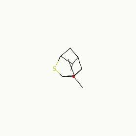 CC1C2CC1C1C(C)C(S2)C1C